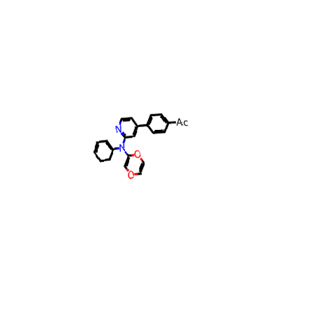 CC(=O)c1ccc(-c2ccnc(N(C3=CC=CCC3)C3=COC=CO3)c2)cc1